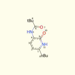 CCCCc1ccc(NC(=O)C(C)(C)C)c(=O)[nH]1